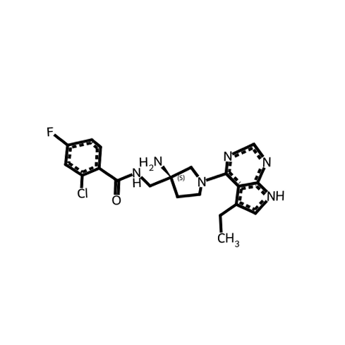 CCc1c[nH]c2ncnc(N3CC[C@](N)(CNC(=O)c4ccc(F)cc4Cl)C3)c12